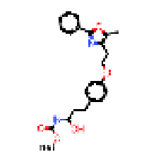 Cc1oc(-c2ccccc2)nc1CCOc1ccc(CCC(O)NC(=O)OC(C)(C)C)cc1